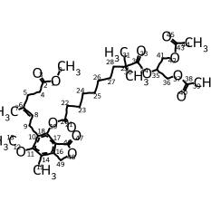 COC(=O)CC/C(C)=C/Cc1c(OC)c(C)c2c(c1OC(=O)CCCCCCCC(C)(C)C(=O)OC(COC(C)=O)COC(C)=O)C(=O)OC2